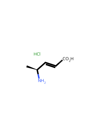 C[C@H](N)C=CC(=O)O.Cl